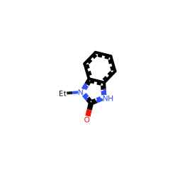 [CH2]Cn1c(=O)[nH]c2ccccc21